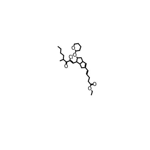 CCCCC(C)C(=O)C(Cl)=CC1C(OC2CCCCO2)CC2C=C(C=CCCC(=O)OCC)CC21